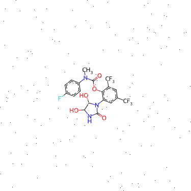 CN(C(=O)Oc1c(N2C(=O)NC(O)C2O)cc(C(F)(F)F)cc1C(F)(F)F)c1ccc(F)cc1